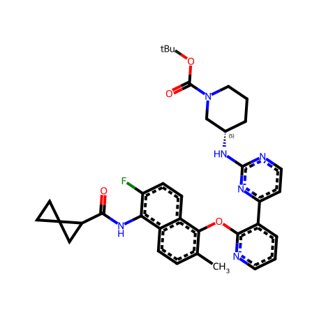 Cc1ccc2c(NC(=O)C3CC34CC4)c(F)ccc2c1Oc1ncccc1-c1ccnc(N[C@H]2CCCN(C(=O)OC(C)(C)C)C2)n1